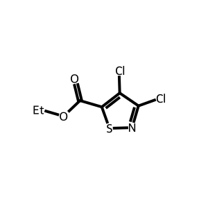 CCOC(=O)c1snc(Cl)c1Cl